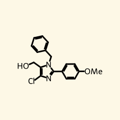 COc1ccc(-c2nc(Cl)c(CO)n2Cc2ccccc2)cc1